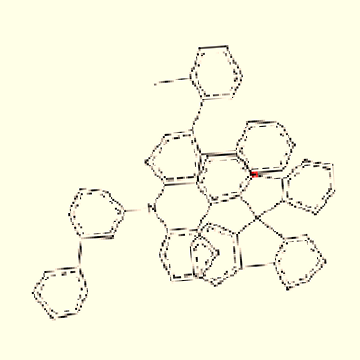 Cc1ccccc1-c1ccc(N(c2cccc(-c3ccccc3)c2)c2ccccc2-c2cccc3c2C2(c4ccccc4-c4ccccc42)c2ccccc2-3)cc1-c1ccccc1